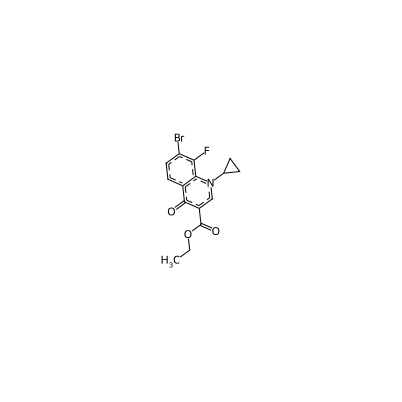 CCOC(=O)c1cn(C2CC2)c2c(F)c(Br)ccc2c1=O